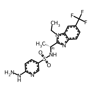 CCn1c([C@@H](C)NS(=O)(=O)c2ccc(NN)nc2)nc2ccc(C(F)(F)F)cc21